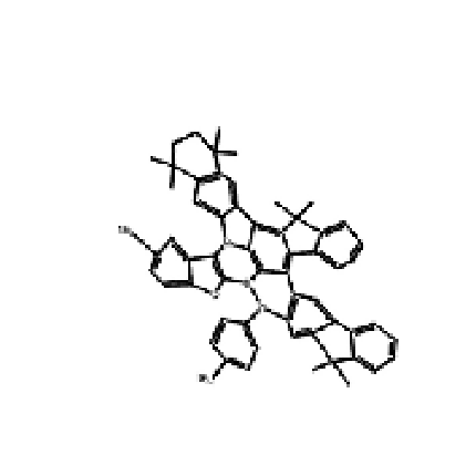 CC(C)(C)c1ccc(N2B3c4oc5ccc(C(C)(C)C)cc5c4-n4c5cc6c(cc5c5c7c(c(c3c54)-c3cc4c(cc32)C(C)(C)c2ccccc2-4)-c2ccccc2C7(C)C)C(C)(C)CCC6(C)C)cc1